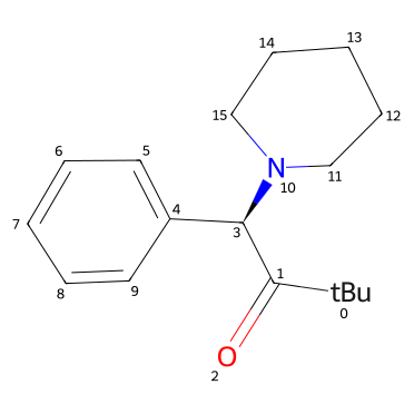 CC(C)(C)C(=O)[C@@H](c1ccccc1)N1CCCCC1